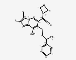 Cc1nc2c(O)c(CCC(O)c3ccccc3)c(C(=O)N3CCC3)cn2c1C